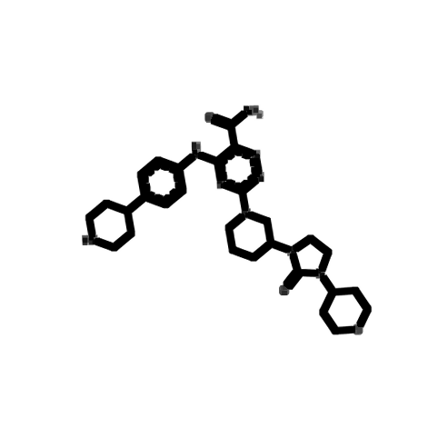 NC(=O)c1nnc(N2CCCC(N3CCN(C4CCOCC4)C3=O)C2)nc1Nc1ccc(C2CCNCC2)cc1